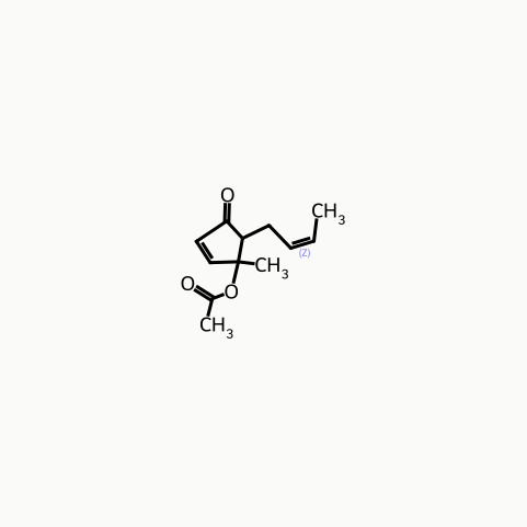 C/C=C\CC1C(=O)C=CC1(C)OC(C)=O